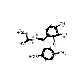 Cc1ccc(S(=O)(=O)O)cc1.N=C(NO)N/N=C/c1ccc(O)c(O)c1O